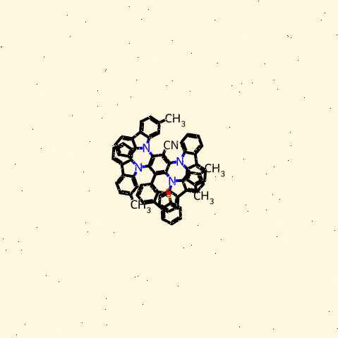 Cc1ccc2c3ccccc3n(-c3c(C#N)c(-n4c5ccccc5c5ccc(C)cc54)c(-n4c5ccccc5c5ccc(C)cc54)c(-c4cccc5c4sc4ccccc45)c3-n3c4ccccc4c4ccc(C)cc43)c2c1